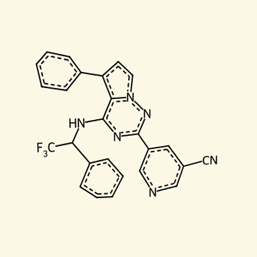 N#Cc1cncc(-c2nc(NC(c3ccccc3)C(F)(F)F)c3c(-c4ccccc4)ccn3n2)c1